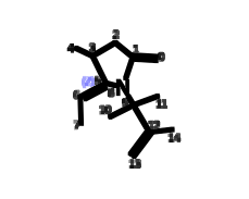 C=C1CC(C)/C(=C/C)N1C(C)(C)C(=C)C